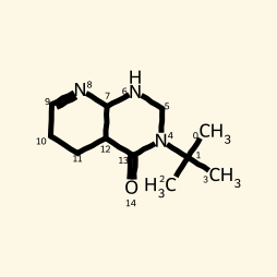 CC(C)(C)N1CNC2N=CCCC2C1=O